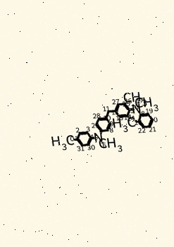 Cc1ccc(N(C)c2ccc(Cc3ccc(N(C)c4ccccc4C)c(C)c3)cc2)cc1